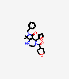 CC1(C)C2=C(C(=O)N1Cc1ccccc1)C(c1ccco1)N(C(=O)C1CCOCC1)CCN2